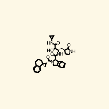 O=C(NC1CC1)C(O)[C@H](C[C@@H]1CCNC1=O)NC(=O)C1C2C3C=CC(C3)C2CN1C(=O)[C@@H]1C[C@]12CCCc1ccccc12